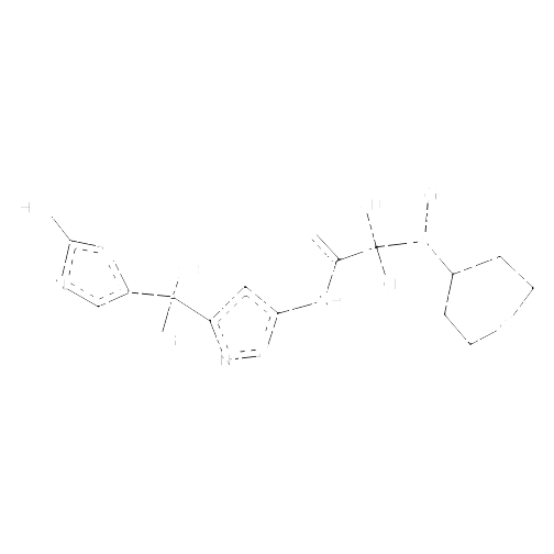 Cc1ncc(C(C)(C)c2cc(NC(=O)C(C)(C)N(C)C3CCOCC3)on2)o1